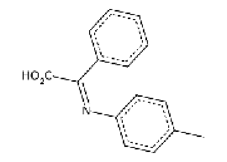 Cc1ccc(N=C(C(=O)O)c2ccccc2)cc1